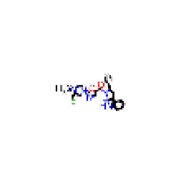 CC(C)CCC(Cc1c[nH]c2ccccc12)NC(=O)c1cnc(N2CCN(C)C(CF)C2)o1